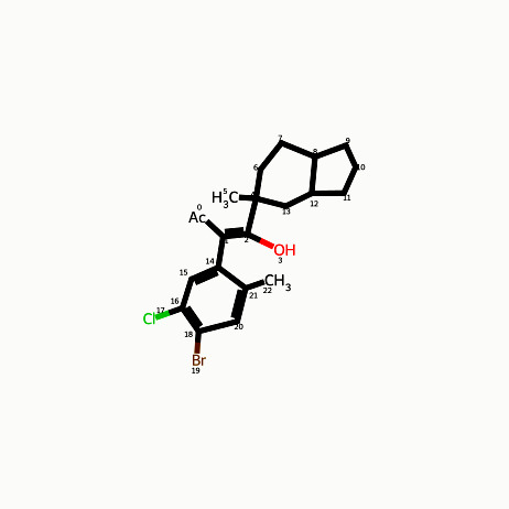 CC(=O)/C(=C(/O)C1(C)CCC2CCCC2C1)c1cc(Cl)c(Br)cc1C